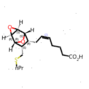 CCCSC[C@H]1[C@@H](C/C=C\CCCC(=O)O)[C@@H]2O[C@H]1[C@H]1O[C@H]12